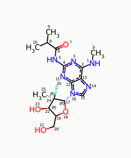 CNc1nc(NC(=O)C(C)C)nc2c1ncn2[C@@H]1OC(CO)[C@@H](O)[C@@]1(C)F